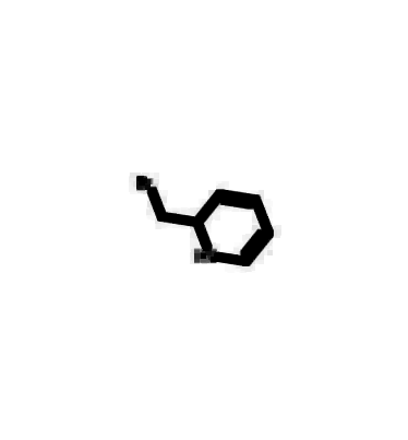 BrCC1C=CC=CN1